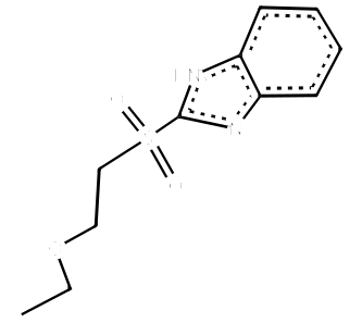 CCOCCS(=O)(=O)c1nc2ccccc2[nH]1